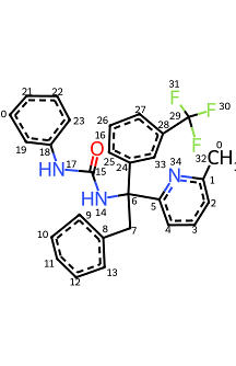 Cc1cccc(C(Cc2ccccc2)(NC(=O)Nc2ccccc2)c2cccc(C(F)(F)F)c2)n1